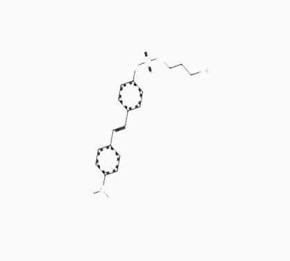 CN(C)c1ccc(C=Cc2ccc(OS(=O)(=O)OCCCO)cc2)cc1